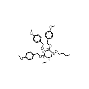 CCCCO[C@@H]1C[C@H](CC)[C@@H](OCc2ccc(OC)cc2)[C@H](OCc2ccc(OC)cc2)[C@H]1OCc1ccc(OC)cc1